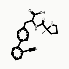 C[C@@]1(C(=O)NC(Cc2ccc(-c3ccccc3C#N)cc2)C(=O)O)CCCN1